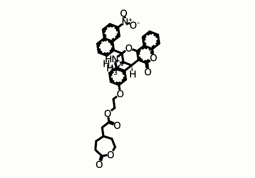 CC1(C)[C@@H]2c3cc(OCCOC(=O)CC4CCOC(=O)CC4)ccc3NC1(c1cccc3ccc([N+](=O)[O-])cc13)Oc1c2c(=O)oc2ccccc12